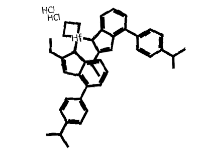 CCC1=Cc2c(-c3ccc(C(C)C)cc3)cccc2[CH]1[Hf]1([CH]2C(CC)=Cc3c(-c4ccc(C(C)C)cc4)cccc32)[CH2]C[CH2]1.Cl.Cl